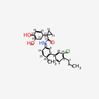 CCCc1ccc(-c2cc(NC(=O)C3(C4C=CC(O)=C(O)C4)CC3)ccc2C)cc1Cl